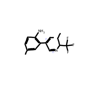 C/C=C(\C=N/C(CC)C(F)(F)F)c1cc(C)ccc1N